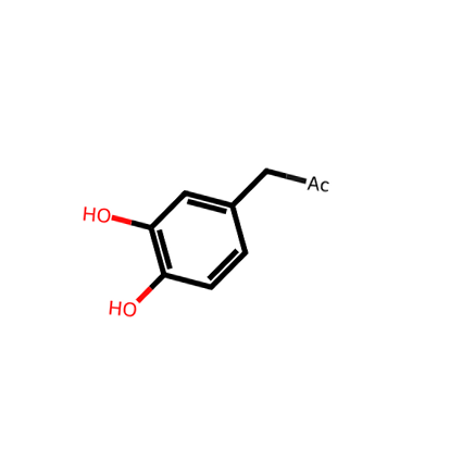 CC(=O)Cc1ccc(O)c(O)c1